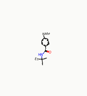 CCC(C)(C)NC(=O)c1ccc(NC)cc1